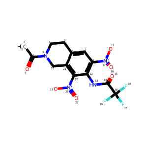 CC(=O)N1CCc2cc([N+](=O)[O-])c(NC(=O)C(F)(F)F)c([N+](=O)[O-])c2C1